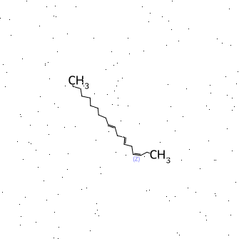 CC/C=C\CC=CCC=CCCCCCCCCC